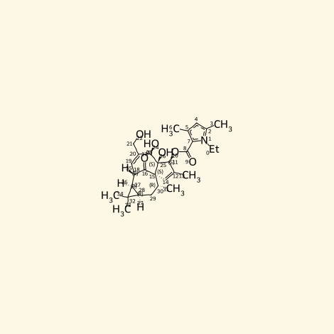 CCn1c(C)cc(C)c1C(=O)O[C@H]1C(C)=C[C@]23C(=O)[C@@H](C=C(CO)[C@@H](O)[C@]12O)[C@H]1[C@@H](C[C@H]3C)C1(C)C